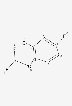 Fc1ccc(OC(F)F)c(Cl)c1